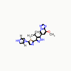 COc1cc(-c2[nH]nc(-c3ncc(N4C[C@@H]5C[C@H]4CN5)s3)c2C(C)C)cn2ncnc12